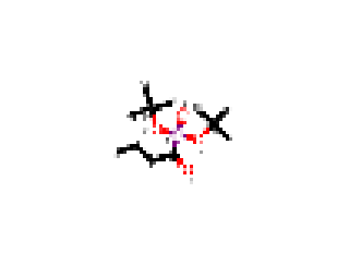 CCCC(=O)P(=O)(OC(C)(C)C)OC(C)(C)C